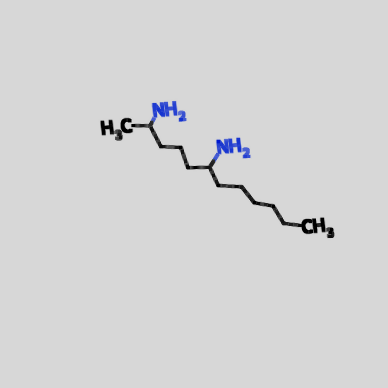 CCCCCCC(N)CCCC(C)N